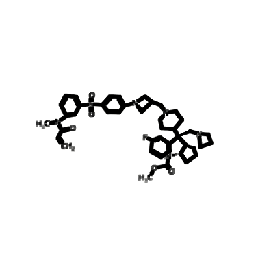 C=CC(=O)N(C)c1cccc(S(=O)(=O)c2ccc(N3CC(CN4CCC([C@@](CN5CCC5)(c5cccc(F)c5)[C@H]5CCC[C@@H]5NC(=O)OC)CC4)C3)cc2)c1